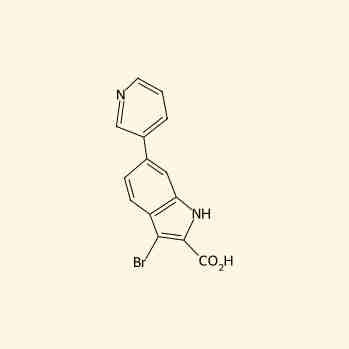 O=C(O)c1[nH]c2cc(-c3cccnc3)ccc2c1Br